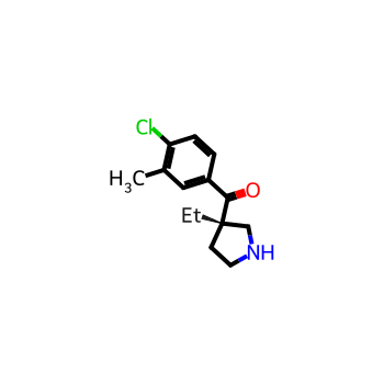 CC[C@]1(C(=O)c2ccc(Cl)c(C)c2)CCNC1